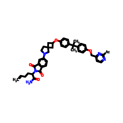 C=CCCC(C(N)=O)N1C(=O)c2ccc(N3CCC4(CC(Oc5ccc(C(C)(C)c6ccc(OCc7ccnc(C(C)=O)n7)cc6)cc5)C4)C3)cc2C1=O